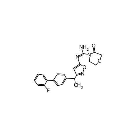 CC(c1ccc(-c2ccccc2F)cc1)c1cc(/N=C(/N)N2CCCCC2=O)on1